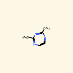 COC1=NC(SC)=NC=C=N1